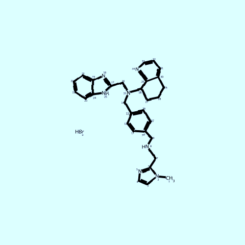 Br.Cn1ccnc1CNCc1ccc(CN(Cc2nc3ccccc3[nH]2)C2CCCc3cccnc32)cc1